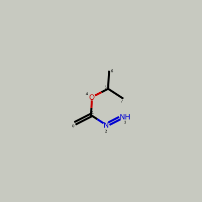 C=C(N=N)OC(C)C